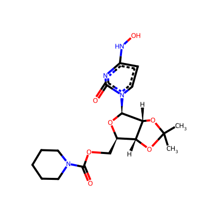 CC1(C)O[C@@H]2[C@H](O1)[C@@H](COC(=O)N1CCCCC1)O[C@H]2n1ccc(NO)nc1=O